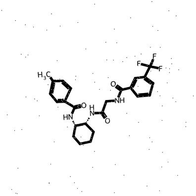 Cc1ccc(C(=O)N[C@H]2CCCC[C@H]2NC(=O)CNC(=O)c2cccc(C(F)(F)F)c2)cc1